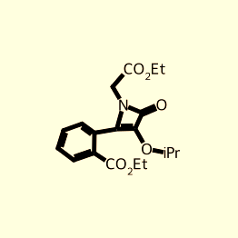 CCOC(=O)CN1C(=O)C(OC(C)C)=C1c1ccccc1C(=O)OCC